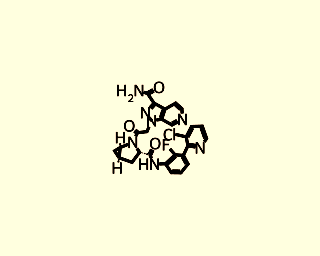 NC(=O)c1nn(CC(=O)N2[C@@H]3C[C@@H]3C[C@H]2C(=O)Nc2cccc(-c3ncccc3Cl)c2F)c2cnccc12